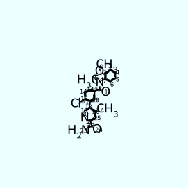 COc1ccccc1N(C)C(=O)c1ccc(Cl)c(-c2cnc(C(N)=O)cc2C)c1